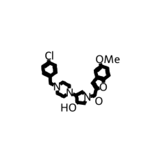 COc1ccc2oc(C(=O)N3CC(O)C(N4CCN(Cc5ccc(Cl)cc5)CC4)C3)cc2c1